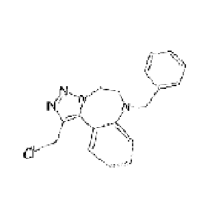 ClCc1nnn2c1-c1ccccc1N(Cc1ccccc1)CC2